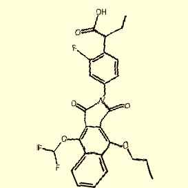 CCCOc1c2c(c(OC(F)F)c3ccccc13)C(=O)N(c1ccc(C(CC)C(=O)O)c(F)c1)C2=O